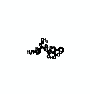 CO/N=C(\C(=O)C[C@@H]1C(=O)N2C(C(=O)O)=C([C@@H]3CCCO3)CS[C@H]12)c1csc(N)n1